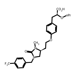 CCCO[C@@H](Cc1ccc(OCC[C@H]2CN(Cc3ccc(C(F)(F)F)cc3)C(=O)N2C)cc1)C(=O)O